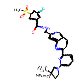 COC1(C)CCN(c2cccc(-c3ccc4cnc(CNC(=O)c5cc(F)cc(S(C)(=O)=O)c5)cc4n3)n2)C1